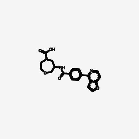 O=C(NC1COCCN(C(=O)O)C1)c1ccc(-c2nccc3occc23)cc1